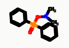 CN(C)OP(=O)(c1ccccc1)c1ccccc1